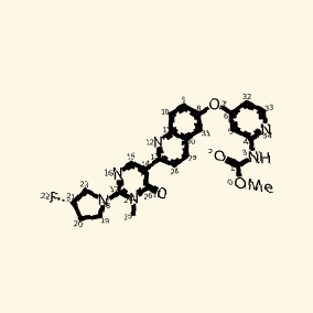 COC(=O)Nc1cc(Oc2ccc3nc(-c4cnc(N5CC[C@H](F)C5)n(C)c4=O)ccc3c2)ccn1